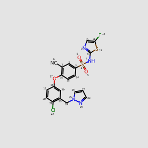 N#Cc1cc(S(=O)(=O)Nc2ncc(F)s2)ccc1Oc1ccc(Cl)c(Cn2cccn2)c1